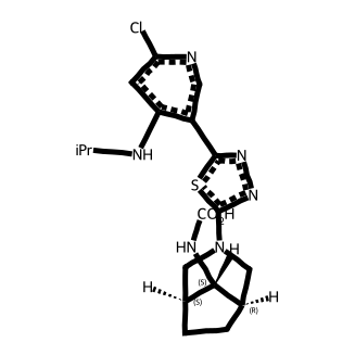 CC(C)Nc1cc(Cl)ncc1-c1nnc(N2C[C@H]3CC[C@@H](C2)[C@@H]3NC(=O)O)s1